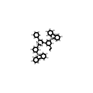 C=Cc1cc(-c2cc(-c3ccccc3)nc(-c3cccc(-n4c5ccccc5c5ccccc54)c3)n2)cc(-n2c3ccccc3c3ccccc32)c1